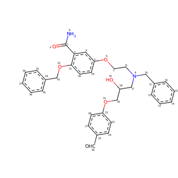 NC(=O)c1cc(OCCN(Cc2ccccc2)CC(O)COc2ccc(C=O)cc2)ccc1OCc1ccccc1